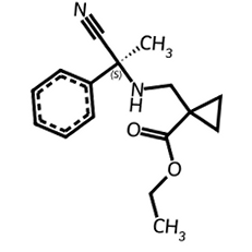 CCOC(=O)C1(CN[C@](C)(C#N)c2ccccc2)CC1